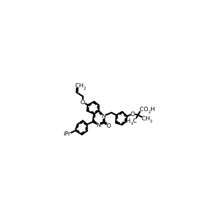 C=CCOc1ccc2c(c1)c(-c1ccc(C(C)C)cc1)nc(=O)n2Cc1cccc(OC(C)(C)C(=O)O)c1